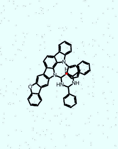 c1ccc(C2NC(c3ccccc3)NC(n3c4cc5c(cc4c4ccc6c7ccccc7n(-c7ccccc7)c6c43)oc3ccccc35)N2)cc1